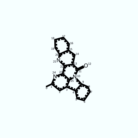 Cc1cc2c3ccccc3n3c(=O)c4cc5ccccc5nc4c(n1)c23